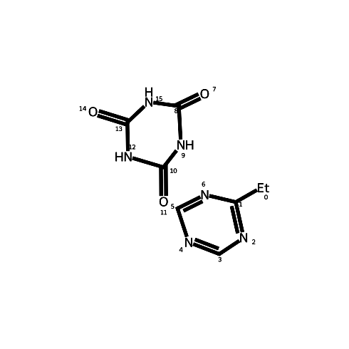 CCc1ncncn1.O=c1[nH]c(=O)[nH]c(=O)[nH]1